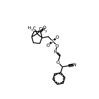 CC1(C)C2CCC1(CS(=O)(=O)ON=COC(C#N)c1ccccc1)C(=O)C2